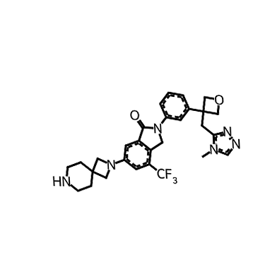 Cn1cnnc1CC1(c2cccc(N3Cc4c(cc(N5CC6(CCNCC6)C5)cc4C(F)(F)F)C3=O)c2)COC1